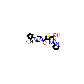 N#Cc1ccccc1N1CCN(C(=O)c2csc3c(O)nc(-c4ccccn4)nc23)CC1